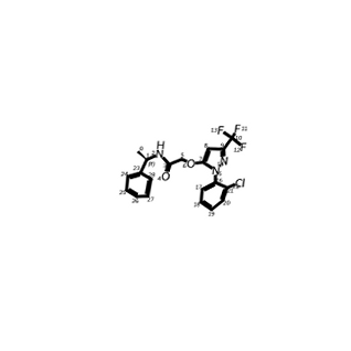 C[C@@H](NC(=O)COc1cc(C(F)(F)F)nn1-c1ccccc1Cl)c1ccccc1